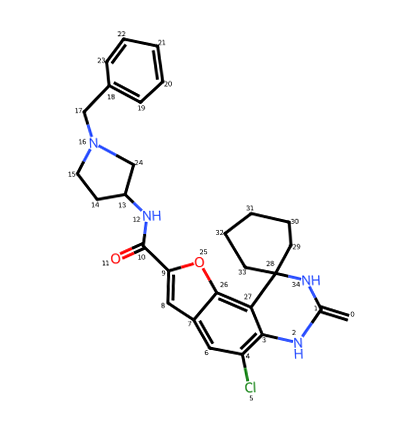 C=C1Nc2c(Cl)cc3cc(C(=O)NC4CCN(Cc5ccccc5)C4)oc3c2C2(CCCCC2)N1